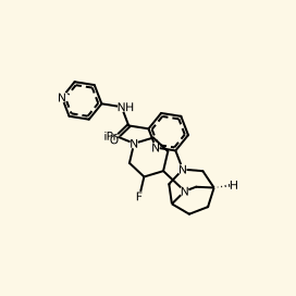 CC(C)N1CCC(N2C[C@@H]3CCC2CN(c2cccc(C(=O)Nc4ccncc4)n2)C3)C(F)C1